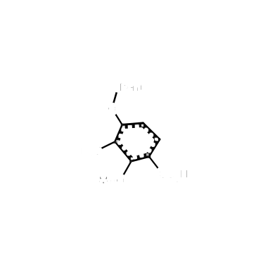 CCCC(C)Oc1ccc(C(=O)O)c(OC)c1C